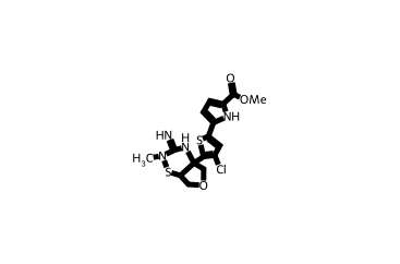 COC(=O)c1ccc(-c2cc(Cl)c(C34COCC3SN(C)C(=N)N4)s2)[nH]1